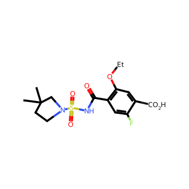 CCOc1cc(C(=O)O)c(F)cc1C(=O)NS(=O)(=O)N1CCC(C)(C)C1